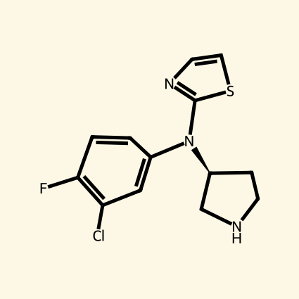 Fc1ccc(N(c2nccs2)[C@H]2CCNC2)cc1Cl